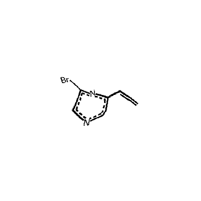 C=Cc1cncc(Br)n1